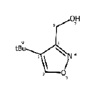 CC(C)(C)c1conc1CO